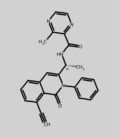 C#Cc1cccc2cc([C@@H](C)NC(=O)c3nccnc3C)n(-c3ccccc3)c(=O)c12